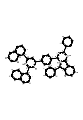 c1ccc(-c2nc(-c3ccc(-c4cc(-c5cccc6ccccc56)nc(-c5cccc6ccccc56)n4)cc3)n3c(-c4ccccc4)c4ccccc4c3n2)cc1